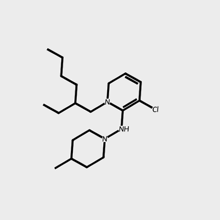 CCCCC(CC)CN1CC=CC(Cl)=C1NN1CCC(C)CC1